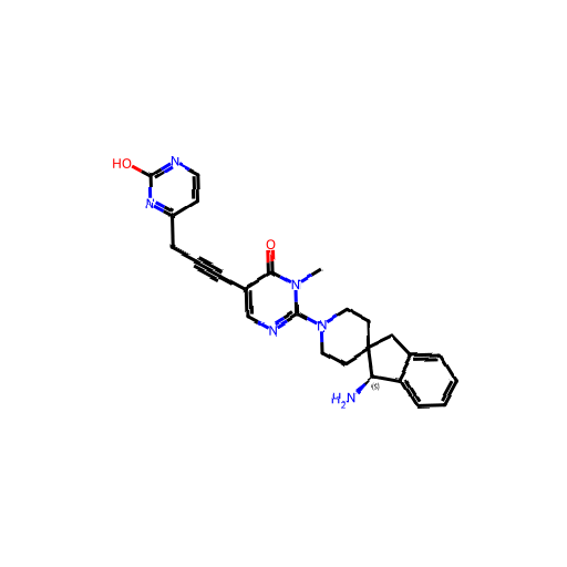 Cn1c(N2CCC3(CC2)Cc2ccccc2[C@H]3N)ncc(C#CCc2ccnc(O)n2)c1=O